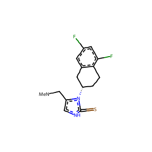 CNCc1c[nH]c(=S)n1[C@H]1CCc2c(F)cc(F)cc2C1